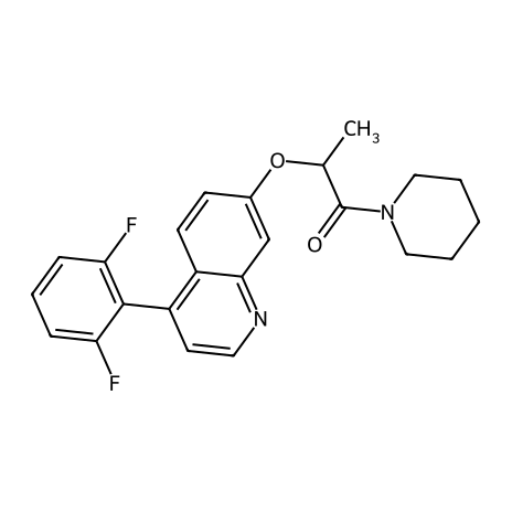 CC(Oc1ccc2c(-c3c(F)cccc3F)ccnc2c1)C(=O)N1CCCCC1